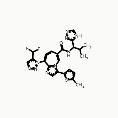 Cc1ccc(-c2cnc3n2C=C(C(=O)NC(c2nnc[nH]2)C(C)C)C=C=C3n2nncc2C(F)F)s1